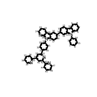 c1ccc(-n2c3ccccc3c3ccc(-c4ccc5c(c4)c4cccnc4n5-c4ccc(-c5cc(-c6ccccn6)cc(-c6ccccn6)n5)cc4)cc32)cc1